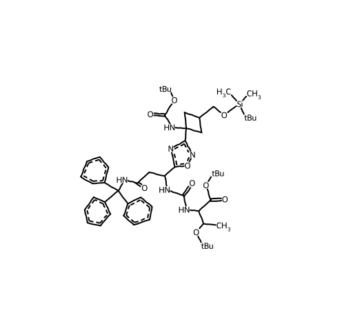 CC(OC(C)(C)C)C(NC(=O)NC(CC(=O)NC(c1ccccc1)(c1ccccc1)c1ccccc1)c1nc(C2(NC(=O)OC(C)(C)C)CC(CO[Si](C)(C)C(C)(C)C)C2)no1)C(=O)OC(C)(C)C